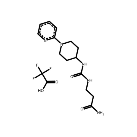 NC(=O)CCNC(=O)NC1CCN(c2ccccn2)CC1.O=C(O)C(F)(F)F